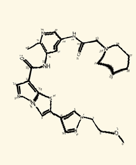 COCCn1cc(-c2cn3ncc(C(=O)Nc4cc(NC(=O)CN5CCCCC5)cnc4C)c3s2)cn1